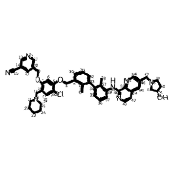 Cc1c(COc2cc(OCc3cncc(C#N)c3)c(CN3CCCC[C@H]3C)cc2Cl)cccc1-c1cccc(Nc2nccc3cc(CN4CC[C@@H](O)C4)cnc23)c1C